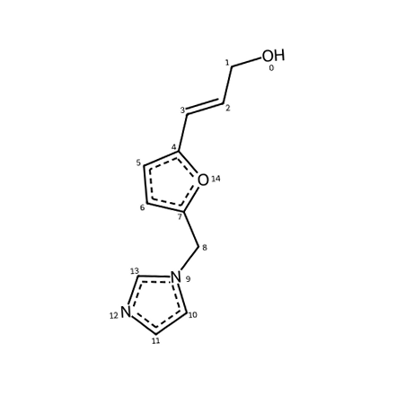 OCC=Cc1ccc(Cn2ccnc2)o1